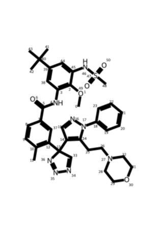 COc1c(NC(=O)c2ccc(C)c(C3(c4cnn(-c5ccccc5)c4CCN4CCOCC4)C=NN=N3)c2)cc(C(C)(C)C)cc1NS(C)(=O)=O